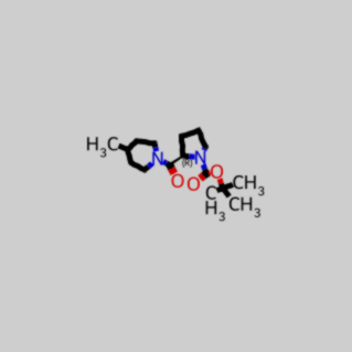 CC1CCN(C(=O)[C@H]2CCCN2C(=O)OC(C)(C)C)CC1